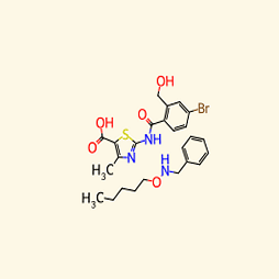 CCCCCONCc1ccccc1.Cc1nc(NC(=O)c2ccc(Br)cc2CO)sc1C(=O)O